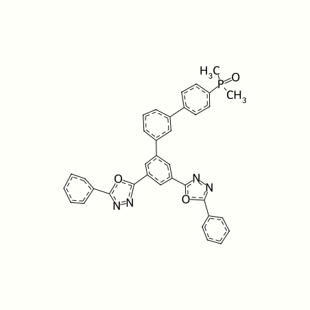 CP(C)(=O)c1ccc(-c2cccc(-c3cc(-c4nnc(-c5ccccc5)o4)cc(-c4nnc(-c5ccccc5)o4)c3)c2)cc1